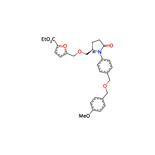 CCOC(=O)c1ccc(COC[C@H]2CCC(=O)N2c2ccc(COCc3ccc(OC)cc3)cc2)o1